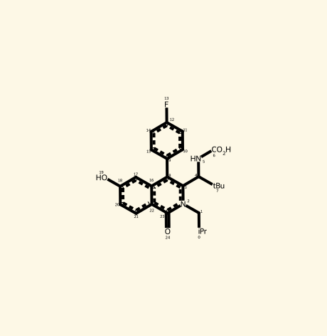 CC(C)Cn1c(C(NC(=O)O)C(C)(C)C)c(-c2ccc(F)cc2)c2cc(O)ccc2c1=O